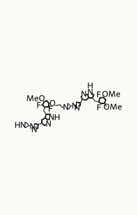 COc1cc(OC)c(F)c(Cc2c[nH]c3ncc(-c4cnn(C5CN(CCCOc6cc(OC)c(F)c(Cc7c[nH]c8ncc(-c9cnn(C%10CNC%10)c9)cc78)c6F)C5)c4)cc23)c1F